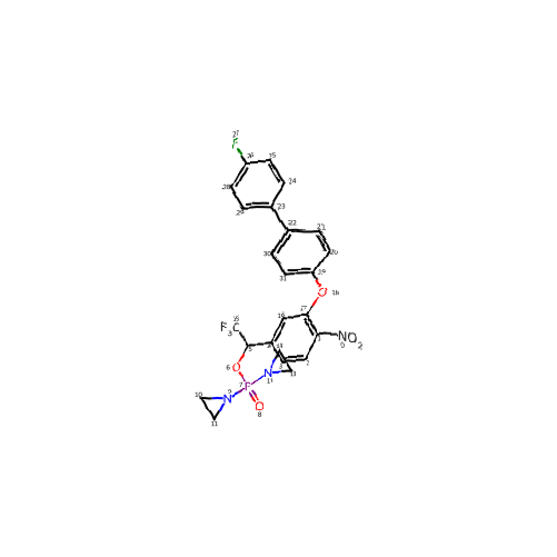 O=[N+]([O-])c1ccc(C(OP(=O)(N2CC2)N2CC2)C(F)(F)F)cc1Oc1ccc(-c2ccc(F)cc2)cc1